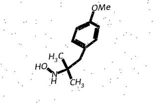 COc1ccc(CC(C)(C)NO)cc1